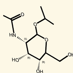 CC(=O)N[C@@H]1C(OC(C)C)OC(CO)[C@H](O)[C@@H]1O